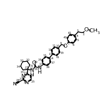 COCCc1ccc(OCc2ccc(-c3ccc(NC(=O)NC4(c5ccnc(C#N)n5)CCCCC4)cc3)cc2)cc1